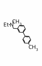 CCN(C)Cc1cccc(-c2ccc(C)cc2)c1